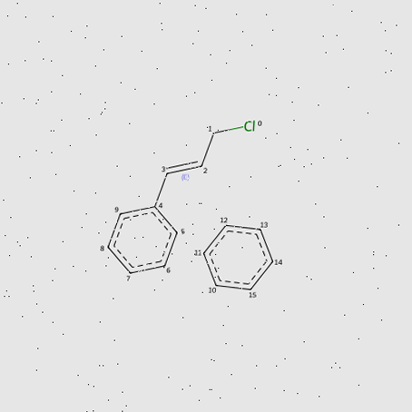 ClC/C=C/c1ccccc1.c1ccccc1